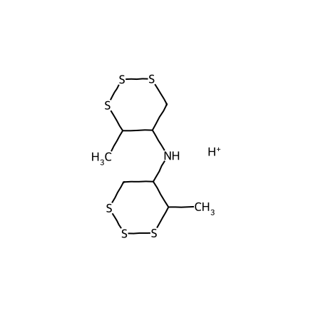 CC1SSSCC1NC1CSSSC1C.[H+]